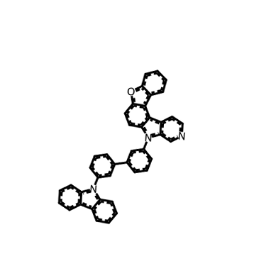 c1cc(-c2cccc(-n3c4cnccc4c4c5c(ccc43)oc3ccccc35)c2)cc(-n2c3ccccc3c3ccccc32)c1